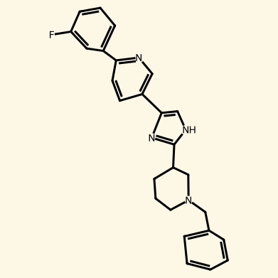 Fc1cccc(-c2ccc(-c3c[nH]c(C4CCCN(Cc5ccccc5)C4)n3)cn2)c1